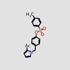 CC(=O)c1cccn1Cc1ccc(OS(=O)(=O)c2ccc(C)cc2)cc1